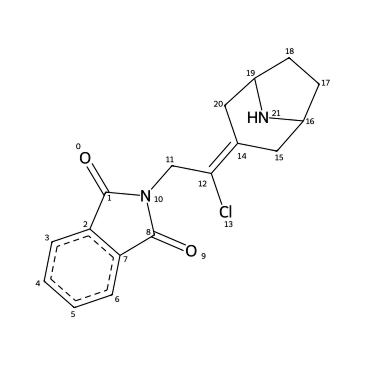 O=C1c2ccccc2C(=O)N1CC(Cl)=C1CC2CCC(C1)N2